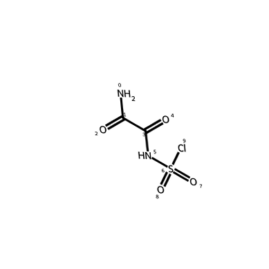 NC(=O)C(=O)NS(=O)(=O)Cl